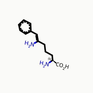 NC(=Cc1ccccc1)CCC[C@H](N)C(=O)O